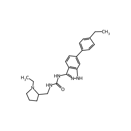 CCc1ccc(-c2ccc3c(NC(=O)NCC4CCCN4CC)n[nH]c3c2)cc1